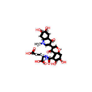 Cn1cc(-c2coc3cc(O)c(O)c(C(=O)N[C@@H](CCC(=O)O)C(=O)O)c3c2=O)c(=O)c2cc(O)c(O)cc21